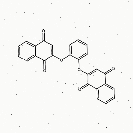 O=C1C=C(Oc2ccccc2OC2=CC(=O)c3ccccc3C2=O)C(=O)c2ccccc21